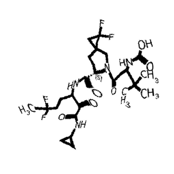 CC(F)(F)CCC(NC(=O)[C@@H]1CC2(CN1C(=O)C(NC(=O)O)C(C)(C)C)CC2(F)F)C(=O)C(=O)NC1CC1